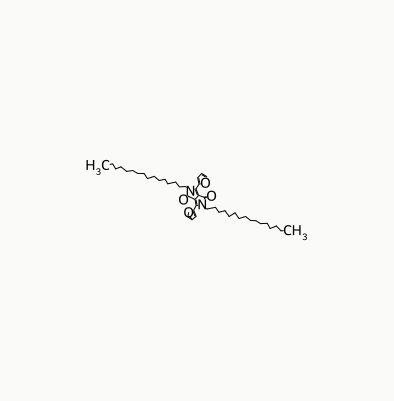 CCCCCCCCCCCCCCCCN1C(=O)C2=C(c3ccco3)N(CCCCCCCCCCCCCCCC)C(=O)C2=C1c1ccco1